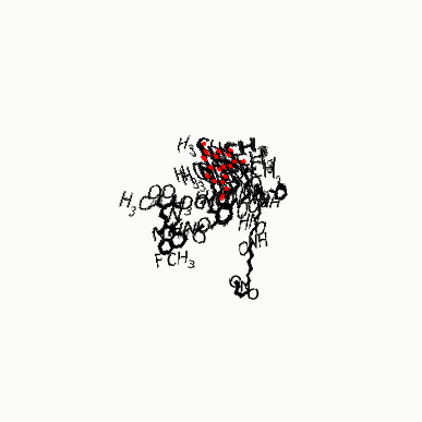 CC[C@H]1C(=O)OCc2c1cc1n(c2=O)Cc2c-1nc1cc(F)c(C)c3c1c2[C@@H](NC(=O)OCc1ccc(NC(=O)CNC(=O)[C@H](Cc2ccccc2)NC(=O)CNC(=O)CNC(=O)CCCCCN2C(=O)C=CC2=O)cc1CN(C)C(=O)CN(C)C(=O)CN(C)C(=O)CN(C)C(=O)CN(C)C(=O)CN(C)C(=O)CN(C)C(=O)CN(C)C(=O)CN(C)C(=O)CN(C)C(=O)CN(C)C(C)=O)CC3